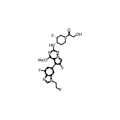 COc1nc(N[C@H]2CCN(C(=O)CO)C[C@H]2F)nn2cc(F)c(-c3cc(F)c4ncn(CCF)c4c3)c12